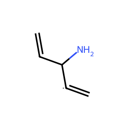 C=[C]C(N)C=C